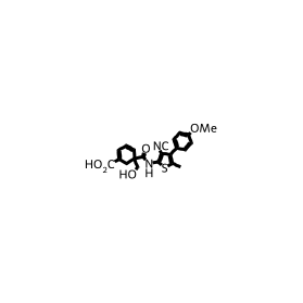 COc1ccc(-c2c(C)sc(NC(=O)C3(CO)C=CC=C(C(=O)O)C3)c2C#N)cc1